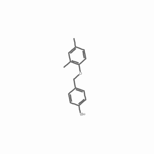 Cc1ccc(OCc2ccc(C(C)(C)C)cc2)c(C)c1